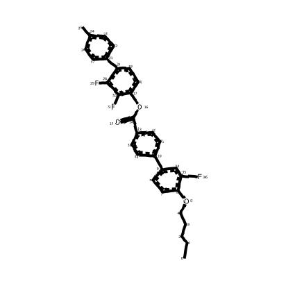 CCCCCOc1ccc(-c2ccc(C(=O)Oc3ccc(-c4ccc(C)cc4)c(F)c3F)cc2)cc1F